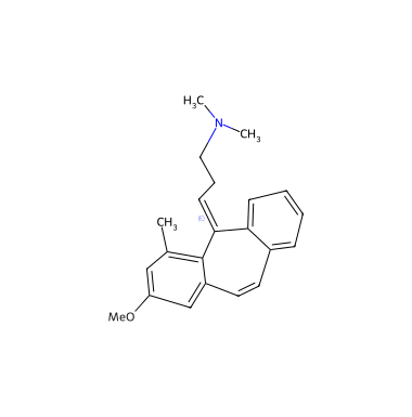 COc1cc(C)c2c(c1)C=Cc1ccccc1/C2=C\CCN(C)C